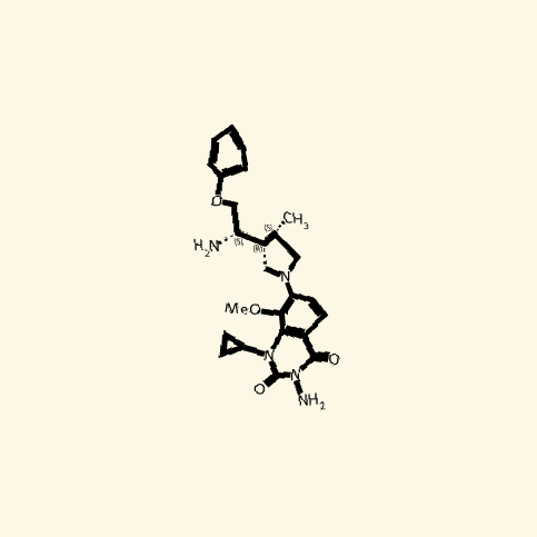 COc1c(N2C[C@H]([C@H](N)COc3ccccc3)[C@H](C)C2)ccc2c(=O)n(N)c(=O)n(C3CC3)c12